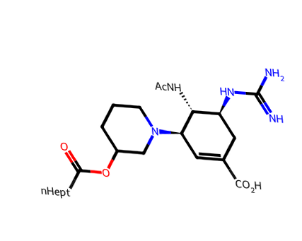 CCCCCCCC(=O)OC1CCCN([C@@H]2C=C(C(=O)O)C[C@H](NC(=N)N)[C@H]2NC(C)=O)C1